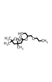 CCCOCC(CO)OC(=O)CC(C)(C)CC(C)(C)C